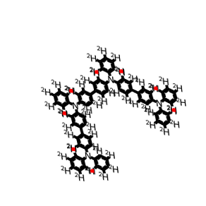 [2H]c1c([2H])c([2H])c(N(c2c([2H])c([2H])c([2H])c([2H])c2[2H])c2c([2H])c([2H])c(-c3c([2H])c([2H])c(N(c4c([2H])c([2H])c([2H])c([2H])c4[2H])c4c([2H])c([2H])c(-c5c([2H])c([2H])c(N(c6c([2H])c([2H])c([2H])c([2H])c6[2H])c6c([2H])c([2H])c(-c7c([2H])c([2H])c(N(c8c([2H])c([2H])c([2H])c([2H])c8[2H])c8c([2H])c([2H])c([2H])c([2H])c8[2H])c([2H])c7[2H])c([2H])c6[2H])c([2H])c5[2H])c([2H])c4[2H])c([2H])c3[2H])c([2H])c2[2H])c([2H])c1[2H]